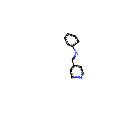 C(=Nc1ccccc1)c1ccncc1